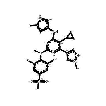 Cc1cc(Nc2nc(N(C)c3c(F)cc(S(C)(=O)=O)cc3F)nc(-c3cnn(C)c3)c2C2CC2)n[nH]1